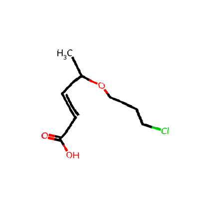 CC(C=CC(=O)O)OCCCCl